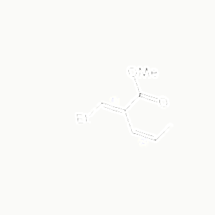 C/C=C\C(=C/CC)C(=O)OC